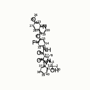 CCC(C)(O)Cn1c(C)c(C(=O)Nc2ccc(Oc3ccnc4cc(OC)ccc34)c(F)c2)c(=O)n1-c1ccccc1